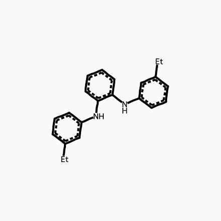 CCc1cccc(Nc2ccccc2Nc2cccc(CC)c2)c1